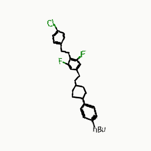 CCCCc1ccc(C2CCC(CCc3cc(F)c(CCc4ccc(Cl)cc4)c(F)c3)CC2)cc1